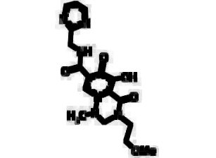 COCCN1CN(C)n2cc(C(=O)NCc3ncccn3)c(=O)c(O)c2C1=O